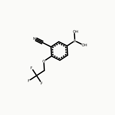 N#Cc1cc(B(O)O)ccc1OCC(F)(F)F